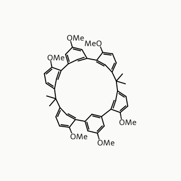 COc1cc2cc(c1)-c1cc(ccc1OC)C(C)(C)c1ccc(OC)c(c1)-c1cc(OC)cc(c1)-c1cc(ccc1OC)C(C)(C)c1ccc(OC)c-2c1